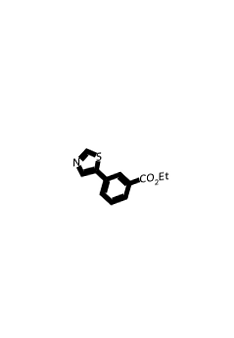 CCOC(=O)c1cccc(-c2cncs2)c1